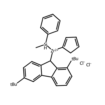 C[SiH](c1ccccc1)[Zr+2]([C]1=CC=CC1)[CH]1c2ccc(C(C)(C)C)cc2-c2cccc(C(C)(C)C)c21.[Cl-].[Cl-]